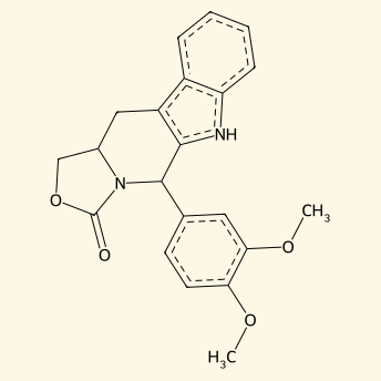 COc1ccc(C2c3[nH]c4ccccc4c3CC3COC(=O)N32)cc1OC